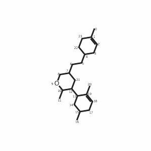 CC1=CCC(CCC2COC(C)C(C3CC(C)CC=C3C)C2)CC1